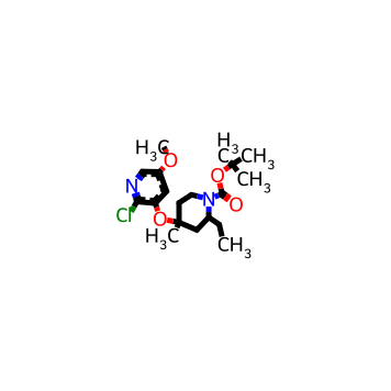 CCC1CC(C)(Oc2cc(OC)cnc2Cl)CCN1C(=O)OC(C)(C)C